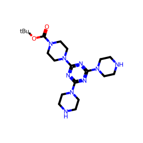 CC(C)(C)OC(=O)N1CCN(c2nc(N3CCNCC3)nc(N3CCNCC3)n2)CC1